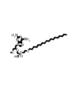 CCCCCCCCCCCCCCCCCCOCCOP(=O)(O)COC(COC)Cn1cnc2c(N)nc(N)nc21